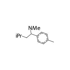 CNC(CC(C)C)c1ccc(C)cc1